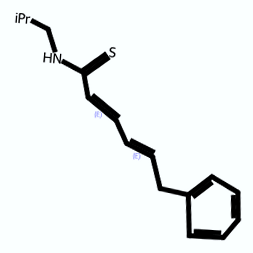 CC(C)CNC(=S)/C=C/C=C/Cc1ccccc1